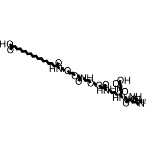 N[C@@H](Cc1cnc[nH]1)C(=O)CN[C@@H](CCCCNC(=O)COCCOCCNC(=O)COCCOCCNC(=O)CCCCCCCCCCCCCCCCC(=O)O)C(=O)NCC(=O)O